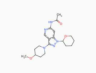 COC1CCN(c2nn(C3CCCCO3)c3cc(NC(C)=O)ncc23)CC1